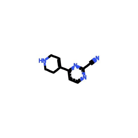 N#Cc1nccc(C2=CCNCC2)n1